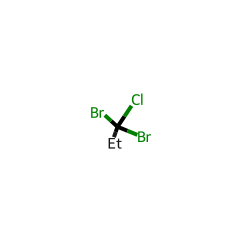 CCC(Cl)(Br)Br